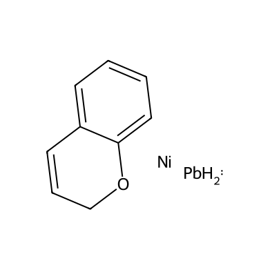 C1=Cc2ccccc2OC1.[Ni].[PbH2]